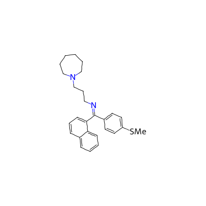 CSc1ccc(/C(=N/CCCN2CCCCCC2)c2cccc3ccccc23)cc1